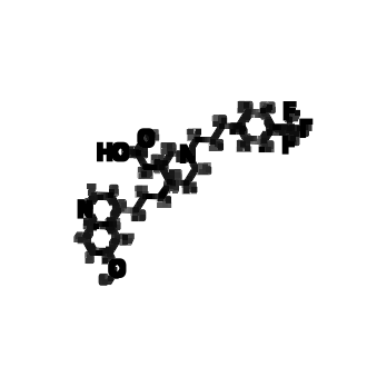 COc1ccc2nccc(CCC[C@@H]3CCN(CCCc4ccc(C(F)(F)F)cc4)C[C@@H]3CC(=O)O)c2c1